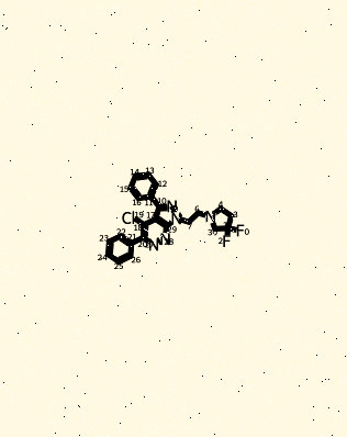 FC1(F)CCN(CCn2nc(-c3ccccc3)c3c(Cl)c(-c4ccccc4)nnc32)C1